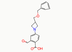 O=Cc1cc(N2CC(COCc3ccccc3)C2)ccc1C(=O)O